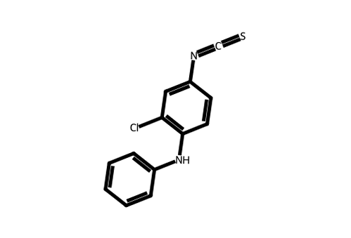 S=C=Nc1ccc(Nc2ccccc2)c(Cl)c1